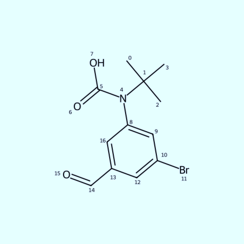 CC(C)(C)N(C(=O)O)c1cc(Br)cc(C=O)c1